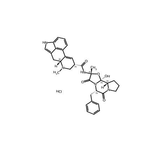 CN1C[C@@H](C(=O)N[C@]2(C)O[C@@]3(O)[C@@H]4CCCN4C(=O)[C@H](Cc4ccccc4)N3C2=O)C=C2c3cccc4[nH]cc(c34)C[C@H]21.Cl